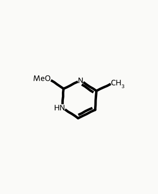 COC1N=C(C)C=CN1